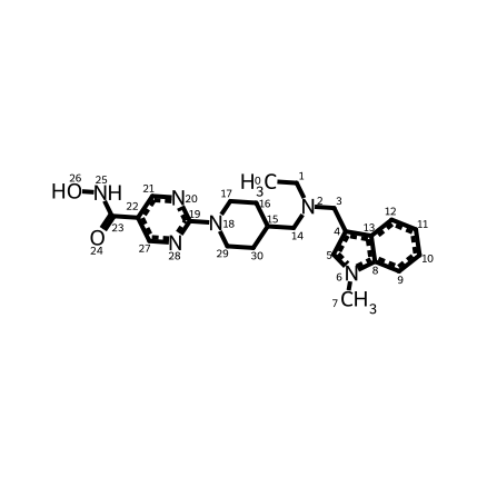 CCN(Cc1cn(C)c2ccccc12)CC1CCN(c2ncc(C(=O)NO)cn2)CC1